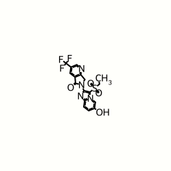 CCS(=O)(=O)c1c(N2Cc3ncc(C(F)(F)F)cc3C2=O)nc2ccc(O)cn12